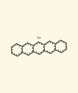 [Cu].c1ccc2cc3cc4cc5ccccc5cc4cc3cc2c1